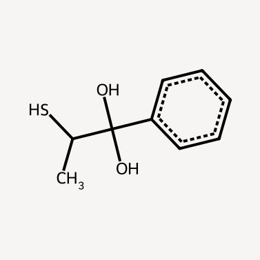 CC(S)C(O)(O)c1ccccc1